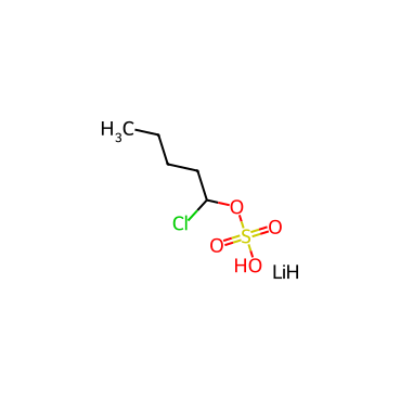 CCCCC(Cl)OS(=O)(=O)O.[LiH]